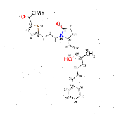 COC(=O)c1ccc(CCCN2C(=O)CC[C@@H]2/C=C/[C@@H](O)[C@@H](C)CCCCc2ccccc2)s1